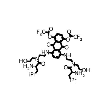 CC(C)C[C@H](N)C(=O)N(CCO)CCNc1ccc(NCCN(CCO)C(=O)[C@@H](N)CC(C)C)c2c1C(=O)c1c(OC(=O)C(F)(F)F)ccc(OC(=O)C(F)(F)F)c1C2=O